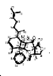 C=C[C@@]1(C)COC(=O)[C@]12O[C@]1(c3ccccc3)[C@H](C2=O)[C@H]2[C@H]([C@H](C)CCC=C(C)C)CC=C(C)[C@H]21